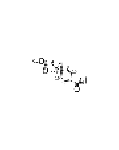 COC(=O)CC(C)(C)c1ccc(C(=O)Cl)cc1